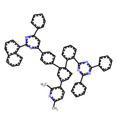 Cc1ccc(-c2ccc(-c3ccccc3-c3nc(-c4ccccc4)nc(-c4ccccc4)n3)c(-c3ccc(-c4cc(-c5ccccc5)nc(-c5cccc6ccccc56)n4)cc3)c2)c(C)n1